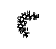 O=C(Nc1ccc(F)c(NC(=O)C2CC2(F)F)c1F)c1cc(NC(=O)C2CC2(Cl)Cl)ccc1Cl